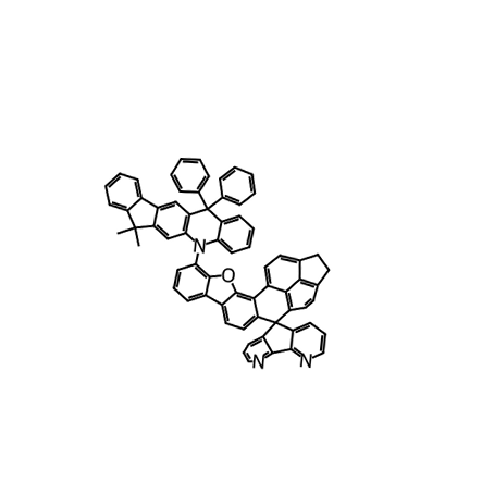 CC1(C)c2ccccc2-c2cc3c(cc21)N(c1cccc2c1oc1c4c(ccc12)C1(c2cccnc2-c2ncccc21)c1ccc2c5c(ccc-4c15)CC2)c1ccccc1C3(c1ccccc1)c1ccccc1